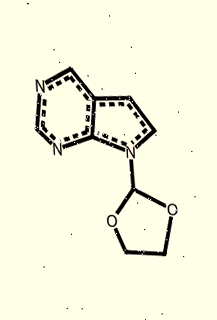 c1ncc2ccn(C3OCCO3)c2n1